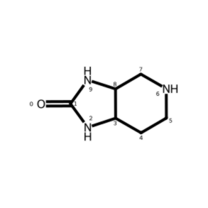 O=C1NC2CCNCC2N1